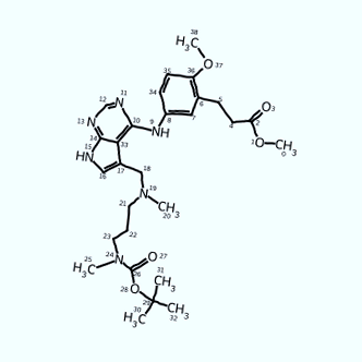 COC(=O)CCc1cc(Nc2ncnc3[nH]cc(CN(C)CCCN(C)C(=O)OC(C)(C)C)c23)ccc1OC